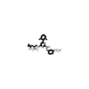 Cc1cccc(C)c1-c1cc(OCC(N)CC2(C(F)(F)F)CC2)nc(NSc2cccc(C(=O)O)c2)n1